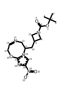 CC(C)(C)OC(=O)N1CC(CC2C/N=C\COc3nc([N+](=O)[O-])cn32)C1